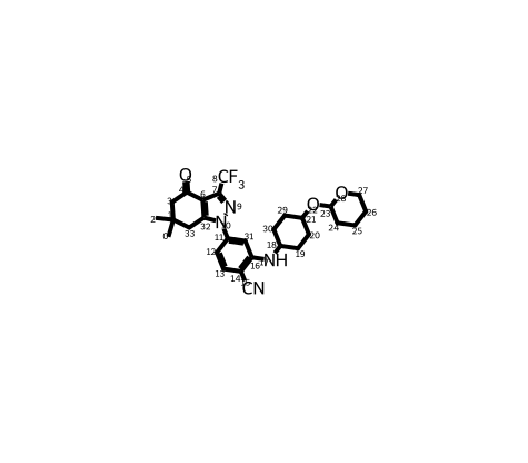 CC1(C)CC(=O)c2c(C(F)(F)F)nn(-c3ccc(C#N)c(NC4CCC(OC5CCCCO5)CC4)c3)c2C1